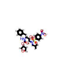 CC(C)CN(C[C@@H](O)[C@H](Cc1ccccc1)NC(=O)O[C@H]1CCOC1)S(=O)(=O)c1ccc([N+](=O)[O-])cc1